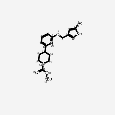 CC(=O)c1cc(COc2cccc(C3CCN(C(=O)OC(C)(C)C)CC3)n2)cs1